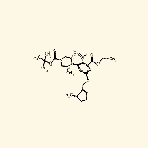 CCOC(=O)c1nc(OCC2CCCN2C)nc(N2[C@@H](C)CN(C(=O)OC(C)(C)C)C[C@@H]2C)c1[N+](=O)[O-]